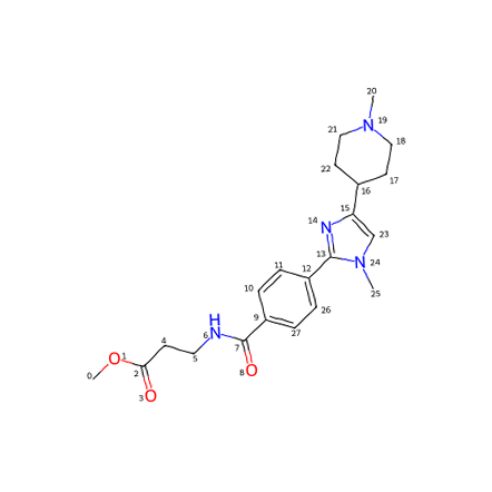 COC(=O)CCNC(=O)c1ccc(-c2nc(C3CCN(C)CC3)cn2C)cc1